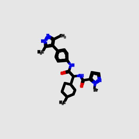 Cc1n[nH]c(C)c1-c1ccc(NC(=O)C(NC(=O)c2ccnn2C(C)C)C2CCC(C)CC2)cc1